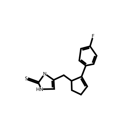 Fc1ccc(C2=CCCC2CC2=CNC(=S)[N]2)cc1